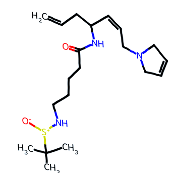 C=CCC(/C=C\CN1CC=CC1)NC(=O)CCCCN[S+]([O-])C(C)(C)C